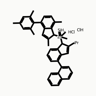 CC1=Cc2c(-c3c(C)cc(C)cc3C)ccc(C)c2[CH]1[Zr]([CH3])([CH3])(=[SiH2])[CH]1C(C(C)C)=Cc2c(-c3cccc4ccccc34)cccc21.Cl.Cl